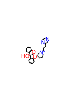 C[N+]1(CCCc2cnccn2)CCC[C@@H](OC(=O)C(O)(c2ccccc2)c2ccccc2)C1